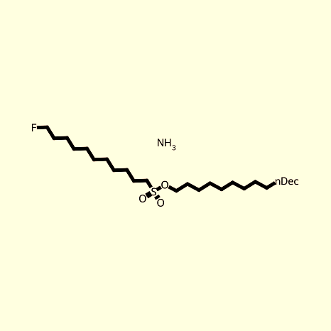 CCCCCCCCCCCCCCCCCCCOS(=O)(=O)CCCCCCCCCCCF.N